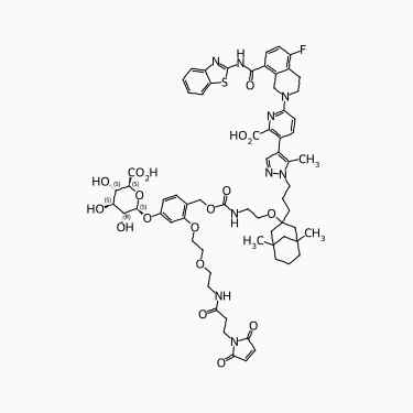 Cc1c(-c2ccc(N3CCc4c(F)ccc(C(=O)Nc5nc6ccccc6s5)c4C3)nc2C(=O)O)cnn1CCCC1(OCCNC(=O)OCc2ccc(O[C@@H]3O[C@H](C(=O)O)[C@@H](O)[C@H](O)[C@H]3O)cc2OCCOCCNC(=O)CCN2C(=O)C=CC2=O)CC2(C)CCCC(C)(C2)C1